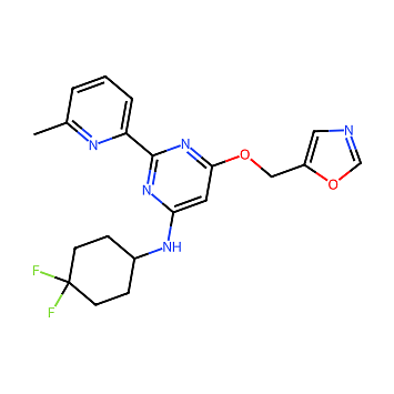 Cc1cccc(-c2nc(NC3CCC(F)(F)CC3)cc(OCc3cnco3)n2)n1